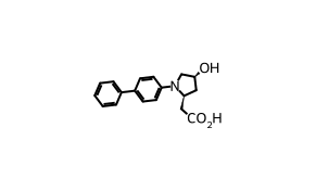 O=C(O)C[C@@H]1C[C@H](O)CN1c1ccc(-c2ccccc2)cc1